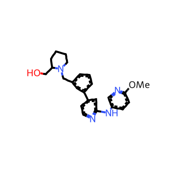 COc1ccc(Nc2cc(-c3cccc(CN4CCCCC4CO)c3)ccn2)cn1